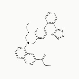 CCCCN(Cc1ccc(-c2ccccc2-c2nnn[nH]2)cc1)c1ncnc2ccc(C(=O)OC)cc12